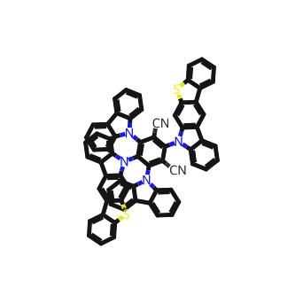 N#Cc1c(-n2c3ccccc3c3cc4c(cc32)sc2ccccc24)c(C#N)c(-n2c3ccccc3c3ccccc32)c(-n2c3ccccc3c3cc4c(cc32)sc2ccccc24)c1-n1c2ccccc2c2ccccc21